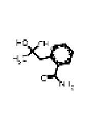 CC(C)(O)Cc1ccccc1C(N)=O